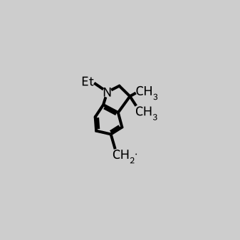 [CH2]c1ccc2c(c1)C(C)(C)CN2CC